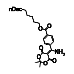 CCCCCCCCCCCCCCCOC(=O)c1ccc(C(N)=C2C(=O)OC(C)(C)OC2=O)cc1